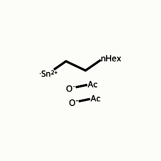 CC(=O)[O-].CC(=O)[O-].CCCCCCC[CH2][Sn+2]